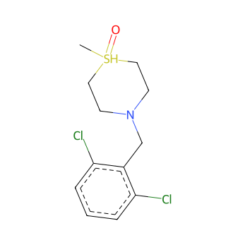 C[SH]1(=O)CCN(Cc2c(Cl)cccc2Cl)CC1